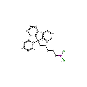 BrP(Br)CCCCCC(c1ccccc1)(c1ccccc1)c1ccccc1